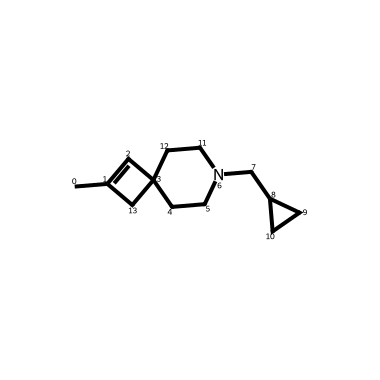 CC1=CC2(CCN(CC3CC3)CC2)C1